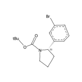 CC(C)(C)OC(=O)N1CCC[C@H]1c1cccc(Br)c1